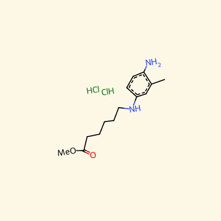 COC(=O)CCCCCNc1ccc(N)c(C)c1.Cl.Cl